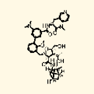 COc1c(CN2O[C@@H](CO)[C@H]([C@H](C)O)[C@H]2C(=O)N[C@H]2C[C@H]3C[C@@H]([C@@H]2C)C3(C)C)cccc1-c1cc(C(=O)N[C@@H](Cc2cccnc2)C(=O)N(C)C)cc(N(C)C)c1